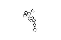 c1ccc(-c2ccc(-c3ccc4ccc5c(-c6cc(-c7ccccc7)cc7oc8ccccc8c67)ccc6ccc3c4c65)cc2)cc1